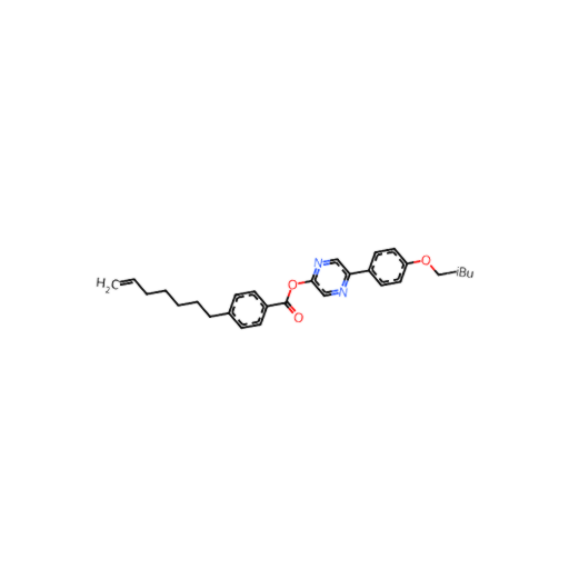 C=CCCCCCc1ccc(C(=O)Oc2cnc(-c3ccc(OCC(C)CC)cc3)cn2)cc1